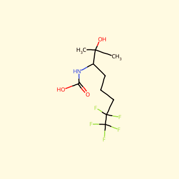 CC(C)(O)C(CCCC(F)(F)C(F)(F)F)NC(=O)O